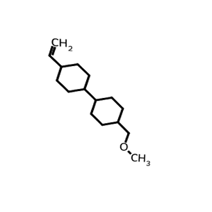 C=CC1CCC(C2CCC(COC)CC2)CC1